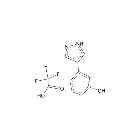 O=C(O)C(F)(F)F.Oc1cccc(-c2cn[nH]c2)c1